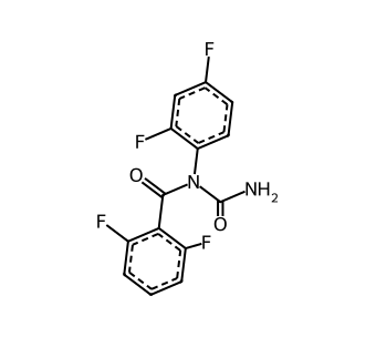 NC(=O)N(C(=O)c1c(F)cccc1F)c1ccc(F)cc1F